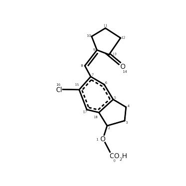 O=C(O)OC1CCc2cc(C=C3CCCC3=O)c(Cl)cc21